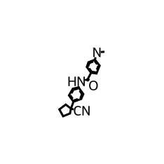 CN(C)c1ccc(C(=O)Nc2ccc(C3(C#N)CCCC3)cc2)cc1